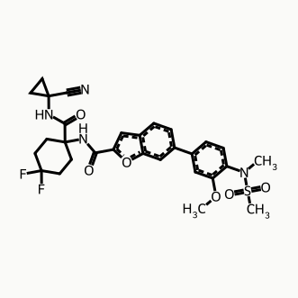 COc1cc(-c2ccc3cc(C(=O)NC4(C(=O)NC5(C#N)CC5)CCC(F)(F)CC4)oc3c2)ccc1N(C)S(C)(=O)=O